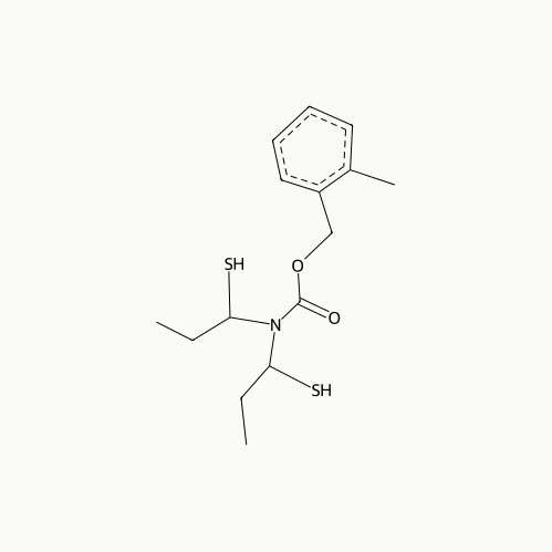 CCC(S)N(C(=O)OCc1ccccc1C)C(S)CC